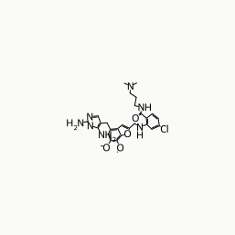 COc1cc(Cc2cnc(N)nc2N)c2cc(CNc3cc(Cl)ccc3C(=O)NCCCN(C)C)oc2c1OC